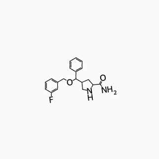 NC(=O)C1CC(C(OCc2cccc(F)c2)c2ccccc2)CN1